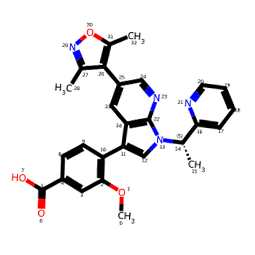 COc1cc(C(=O)O)ccc1-c1cn([C@@H](C)c2ccccn2)c2ncc(-c3c(C)noc3C)cc12